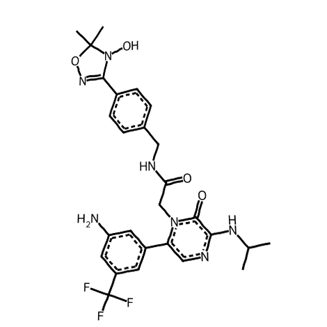 CC(C)Nc1ncc(-c2cc(N)cc(C(F)(F)F)c2)n(CC(=O)NCc2ccc(C3=NOC(C)(C)N3O)cc2)c1=O